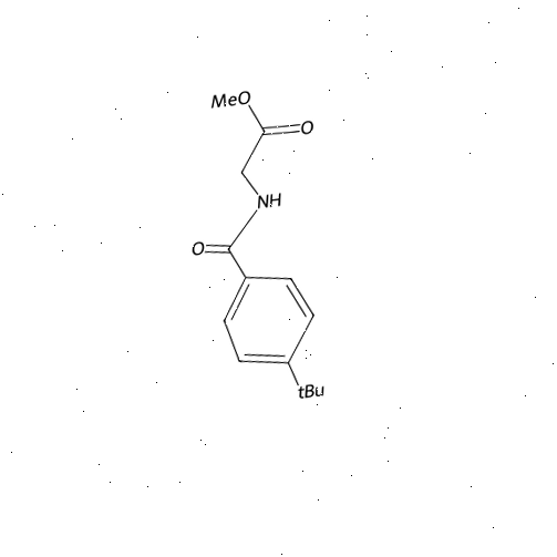 COC(=O)CNC(=O)c1ccc(C(C)(C)C)cc1